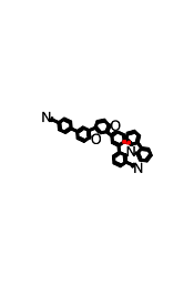 CC1Cc2oc3ccc4c5cc(-c6ccc(C#N)cc6)ccc5oc4c3c2C=C1c1cccc(C#N)c1-n1c2ccccc2c2ccccc21